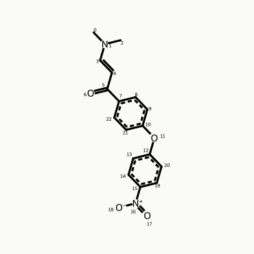 CN(C)/C=C/C(=O)c1ccc(Oc2ccc([N+](=O)[O-])cc2)cc1